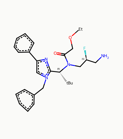 CCOCC(=O)N(C[C@@H](F)CN)[C@@H](c1nc(-c2ccccc2)cn1Cc1ccccc1)C(C)(C)C